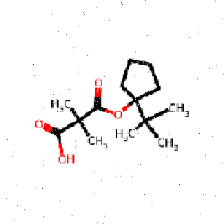 CC(C)(C(=O)O)C(=O)OC1(C(C)(C)C)CCCC1